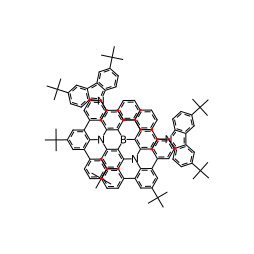 CC(C)(C)c1cc(-c2ccccc2)c(N2c3cc(-n4c5ccc(C(C)(C)C)cc5c5cc(C(C)(C)C)ccc54)cc(-c4ccccc4)c3B3c4c(-c5ccccc5)cc(-n5c6ccc(C(C)(C)C)cc6c6cc(C(C)(C)C)ccc65)cc4N(c4c(-c5ccccc5)cc(C(C)(C)C)cc4-c4ccccc4)c4cc(C(C)(C)C)cc2c43)c(-c2ccccc2)c1